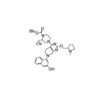 CN1CCCC1COc1nc2c(c(N3CCN(C(=O)OC(C)(C)C)C(CC#N)C3)n1)CCN(c1cc(O)cc3ccccc13)C2